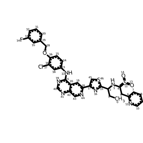 CCC(NC(Cc1ccccn1)=S(=O)=O)c1nc(-c2cc3c(Nc4ccc(OCc5cccc(F)c5)c(Cl)c4)ncnc3cn2)cs1